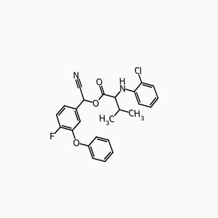 CC(C)C(Nc1ccccc1Cl)C(=O)OC(C#N)c1ccc(F)c(Oc2ccccc2)c1